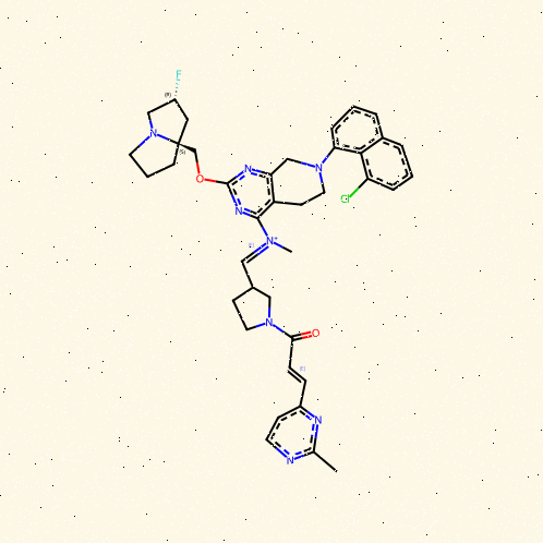 Cc1nccc(/C=C/C(=O)N2CCC(/C=[N+](\C)c3nc(OC[C@@]45CCCN4C[C@H](F)C5)nc4c3CCN(c3cccc5cccc(Cl)c35)C4)C2)n1